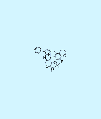 COC(=O)C(OC(C)(C)C)c1c(C)nc2c(-c3ccccc3)cnn2c1-c1cc(F)c2c(c1C)CCCO2